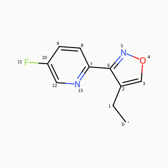 [CH2]Cc1conc1-c1ccc(F)cn1